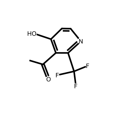 CC(=O)c1c(O)ccnc1C(F)(F)F